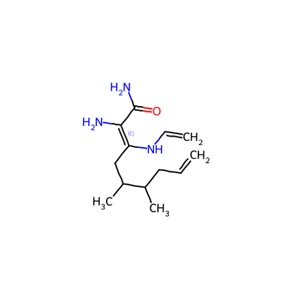 C=CCC(C)C(C)C/C(NC=C)=C(\N)C(N)=O